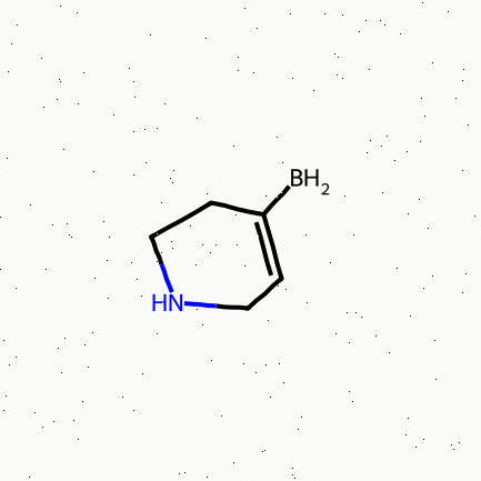 BC1=CCNCC1